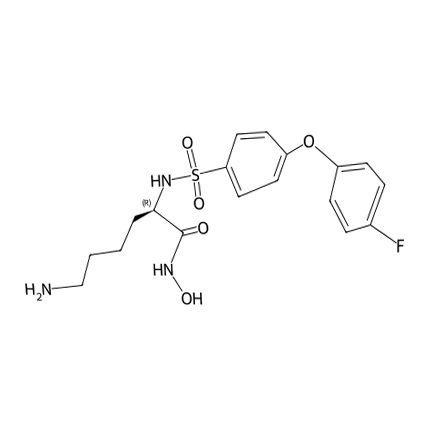 NCCCC[C@@H](NS(=O)(=O)c1ccc(Oc2ccc(F)cc2)cc1)C(=O)NO